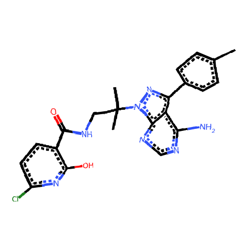 Cc1ccc(-c2nn(C(C)(C)CNC(=O)c3ccc(Cl)nc3O)c3ncnc(N)c23)cc1